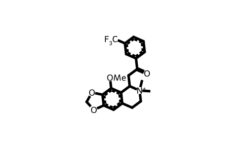 COc1c2c(cc3c1C(CC(=O)c1cccc(C(F)(F)F)c1)[N+](C)(C)CC3)OCO2